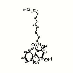 O=C(O)CCCCCCCCC(=O)O.Oc1cccc(O)c1.Oc1cccc(O)c1